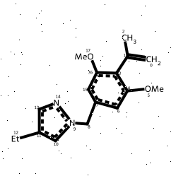 C=C(C)c1c(OC)cc(Cn2cc(CC)cn2)cc1OC